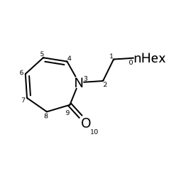 CCCCCCCCN1C=CC=CCC1=O